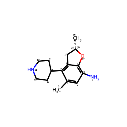 Cc1cc(N)c2c(c1C1CCNCC1)C[C@H](C)O2